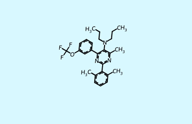 CCCN(CCC)c1c(C)nc(-c2c(C)cccc2C)nc1-c1cccc(OC(F)(F)F)c1